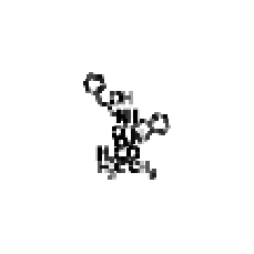 CC(C)(C)OC(=O)N1Cc2ccccc2C[C@H]1C(=O)NC[C@H](O)Cc1ccccc1